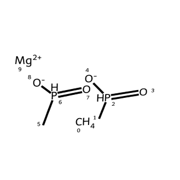 C.C[PH](=O)[O-].C[PH](=O)[O-].[Mg+2]